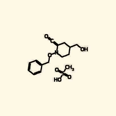 CS(=O)(=O)O.O=C=C1CC(CO)CCN1OCc1ccccc1